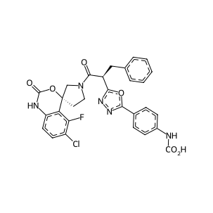 O=C(O)Nc1ccc(-c2nnc([C@H](Cc3ccccc3)C(=O)N3CC[C@@]4(C3)OC(=O)Nc3ccc(Cl)c(F)c34)o2)cc1